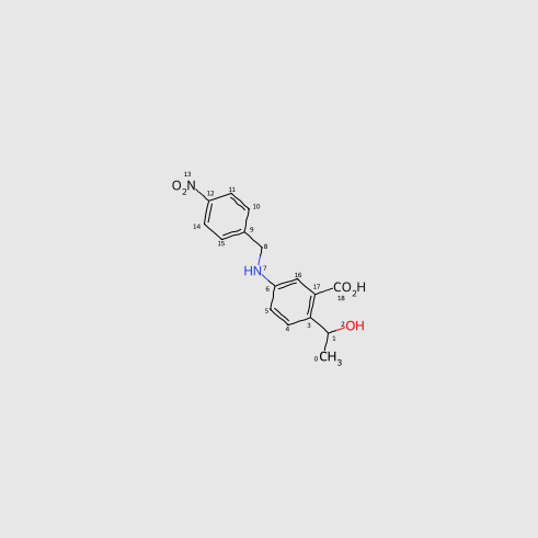 CC(O)c1ccc(NCc2ccc([N+](=O)[O-])cc2)cc1C(=O)O